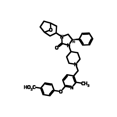 Cc1nc(Oc2ccc(C(=O)O)cc2)ccc1CN1CCC(N2C(=O)N(C3CC4CCC(C3)O4)C[C@H]2c2ccccc2)CC1